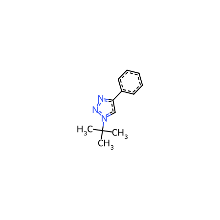 CC(C)(C)n1cc(-c2ccccc2)nn1